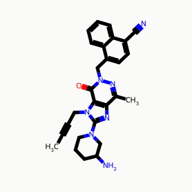 CC#CCn1c(N2CCCC(N)C2)nc2c(C)nn(Cc3ccc(C#N)c4ccccc34)c(=O)c21